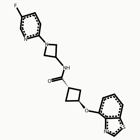 O=C(NC1CN(c2ccc(F)cn2)C1)[C@H]1C[C@H](Oc2cccc3scnc23)C1